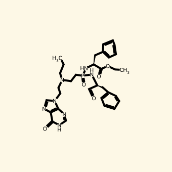 CCCN(CCn1cnc2c(=O)[nH]cnc21)CCP(=O)(N[C@H](C=O)Cc1ccccc1)N[C@@H](Cc1ccccc1)C(=O)OCC